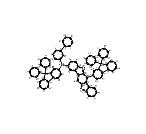 c1ccc(-c2cccc(N(c3ccc4c(c3)C(c3ccccc3)(c3ccccc3)c3ccccc3-4)c3ccc4oc5c(-c6ccc7c(c6)C(c6ccccc6)(c6ccccc6)c6ccccc6-7)c6c(cc5c4c3)oc3ccccc36)c2)cc1